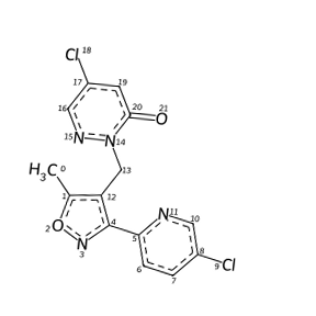 Cc1onc(-c2ccc(Cl)cn2)c1Cn1ncc(Cl)cc1=O